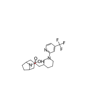 O=C(CC1CCCN(c2cc(C(F)(F)F)ccn2)C1)N1C2CCC1CC(O)C2